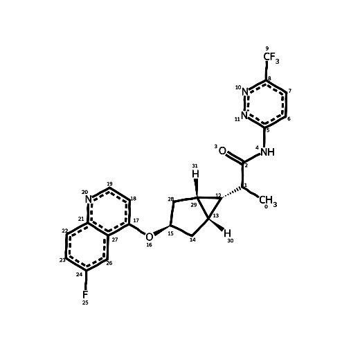 CC(C(=O)Nc1ccc(C(F)(F)F)nn1)[C@@H]1[C@@H]2C[C@@H](Oc3ccnc4ccc(F)cc34)C[C@@H]21